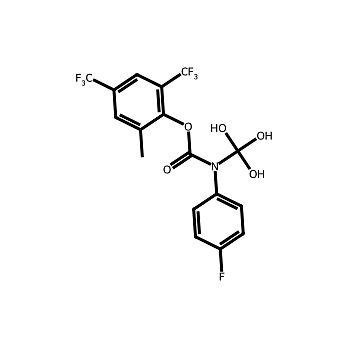 Cc1cc(C(F)(F)F)cc(C(F)(F)F)c1OC(=O)N(c1ccc(F)cc1)C(O)(O)O